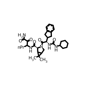 CCCC(NC(=O)[C@@H]1C2C(CN1C(=O)[C@@H](NC(=O)NC1CCCCC1)C1Cc3ccccc3C1)C2(C)C)C(=O)C(N)=O